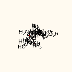 CC[C@H](C)[C@H](NC(=O)[C@H](Cc1ccc(O)cc1)NC(=O)[C@@H]1CCCN1C(=O)[C@H](CCCCN)NC(=O)[C@H](CCCCN)NC(=O)[C@H](Cc1ccccc1)NC(=O)[C@H](Cc1ccccc1)NC(=O)[C@@H](CCCNC(=N)N)NC(=O)[C@@H](N)Cc1ccc(O)cc1)C(=O)N[C@@H](CC(C)C)C(=O)O